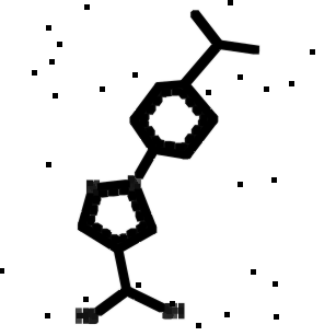 CC(C)c1ccc(-n2cc(C(S)S)cn2)cc1